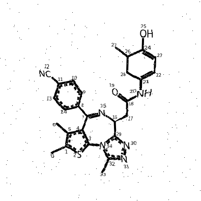 Cc1sc2c(c1C)C(c1ccc(C#N)cc1)=N[C@@H](CC(=O)NC1=CC=C(O)C(C)C1)c1nnc(C)n1-2